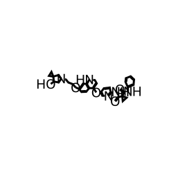 O=C(Nc1ccccc1)C1(C(=O)Nc2ccc(OC3=CCNc4cc(OCCCN5CC(O)C6(CC6)C5)ccc43)cn2)CC1